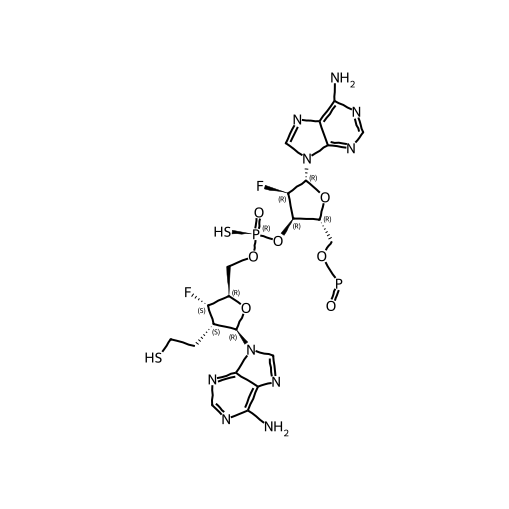 Nc1ncnc2c1ncn2[C@@H]1O[C@H](COP=O)[C@@H](O[P@](=O)(S)OC[C@H]2O[C@@H](n3cnc4c(N)ncnc43)[C@H](CCS)[C@@H]2F)[C@H]1F